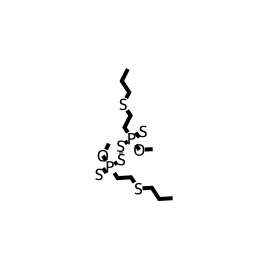 CCCSCCP(=S)(OC)SSP(=S)(CCSCCC)OC